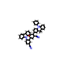 CC1(C)c2ccccc2N(c2ccccc2)c2ccc(-c3ccc(-c4cc(C#N)ccc4-n4c5ccccc5c5ccccc54)cc3C#N)cc21